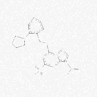 CC(C)c1cnn2c(NCc3ccccc3N3CCCC3)nc(S(C)(=O)=O)nc12